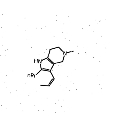 C/C=C\c1c(CCC)[nH]c2c1CN(C)CC2